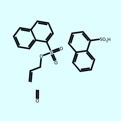 C=CCOS(=O)(=O)c1cccc2ccccc12.C=O.O=S(=O)(O)c1cccc2ccccc12